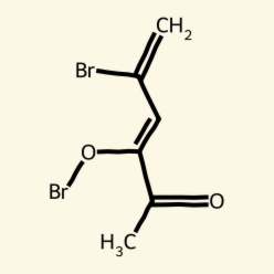 C=C(Br)/C=C(\OBr)C(C)=O